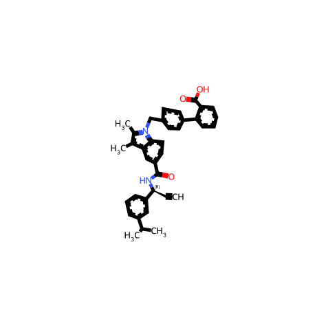 C#C[C@H](NC(=O)c1ccc2c(c1)c(C)c(C)n2Cc1ccc(-c2ccccc2C(=O)O)cc1)c1cccc(C(C)C)c1